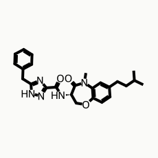 CC(C)CCc1ccc2c(c1)N(C)C(=O)[C@@H](NC(=O)c1n[nH]c(Cc3ccccc3)n1)CO2